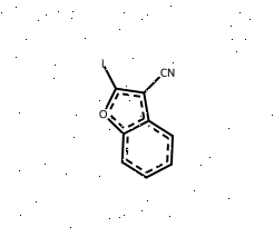 N#Cc1c(I)oc2ccccc12